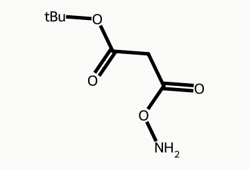 CC(C)(C)OC(=O)CC(=O)ON